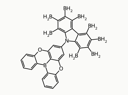 Bc1c(B)c(B)c2c(c1B)c1c(B)c(B)c(B)c(B)c1n2-c1cc2c3c(c1)Oc1ccccc1B3c1ccccc1O2